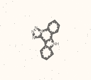 c1ccc2c(c1)[nH]c1c3ccccc3n3nnnc3c21